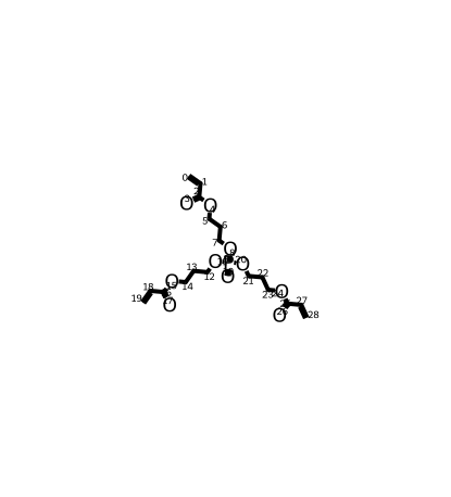 C=CC(=O)OCCCOP(=O)(OCCCOC(=O)C=C)OCCCOC(=O)C=C